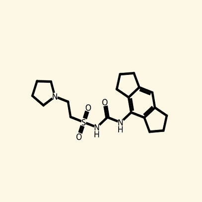 O=C(Nc1c2c(cc3c1CCC3)CCC2)NS(=O)(=O)CCN1CCCC1